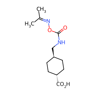 CC(C)=NOC(=O)NC[C@H]1CC[C@H](C(=O)O)CC1